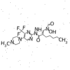 CCCCCC(CN(O)C=O)C(=O)N(N)c1ncc(N2CCN(C)CC2)c(C(F)(F)F)n1